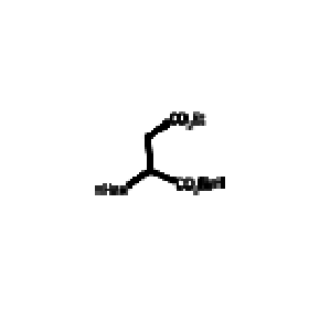 CCCCCCC(CC(=O)OCC)C(=O)OCC.[NaH]